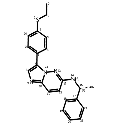 CCSc1ccc(-c2cnc3ccc(N[C@H](C)c4ccccc4)nn23)cc1